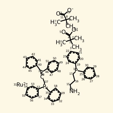 CC(C)(C)C(=O)[O-].CC(C)(C)C(=O)[O-].NCCCP(c1ccccc1)c1ccccc1.[Ru+2].c1ccc(P(CCP(c2ccccc2)c2ccccc2)c2ccccc2)cc1